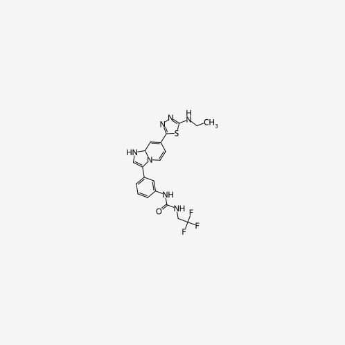 CCNc1nnc(C2=CC3NC=C(c4cccc(NC(=O)NCC(F)(F)F)c4)N3C=C2)s1